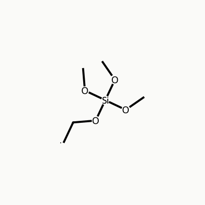 [CH2]CO[Si](OC)(OC)OC